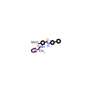 COCc1ccc(C(=O)Nc2ccc(-c3ccccc3)cc2)cc1NC(=O)[C@H](C)N1CC2CCC(C1)O2